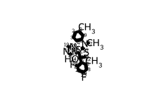 Cc1cccc(N(C)C(=S)S[C@H](C)[C@](O)(Cn2cncn2)c2ccc(F)cc2F)c1